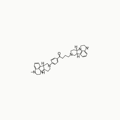 CN1CCN2c3c(cccc31)[C@@H]1CN(CCCC(=O)c3ccc(N4CC[C@H]5[C@@H](C4)c4cccc6c4N5CCN6C)cc3)CC[C@@H]12